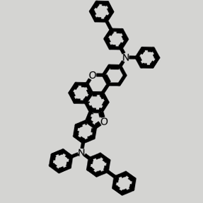 C1=C(N(c2ccccc2)c2ccc(-c3ccccc3)cc2)CCC2=C1Oc1cccc3c1c2cc1oc2cc(N(c4ccccc4)c4ccc(-c5ccccc5)cc4)ccc2c13